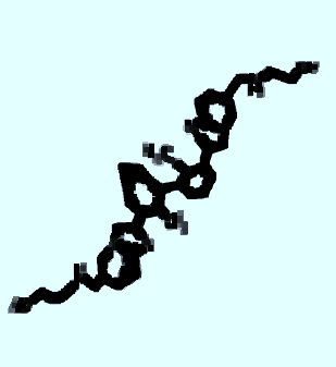 Cc1c(-c2cn3cc(CNCCO)ccc3n2)cccc1-c1cccc(-c2cn3cc(CNCCO)ccc3n2)c1C